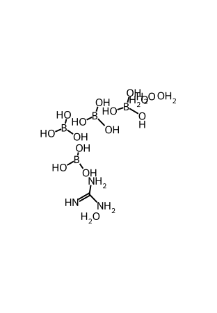 N=C(N)N.O.O.O.O.OB(O)O.OB(O)O.OB(O)O.OB(O)O